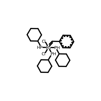 [Cl][Ru]([Cl])(=[CH]c1ccccc1)([PH]C1CCCCC1)([PH]C1CCCCC1)[PH]C1CCCCC1